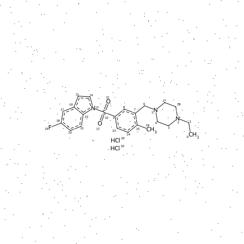 CCN1CCN(Cc2cc(S(=O)(=O)n3ccc4cc(F)ccc43)ccc2C)CC1.Cl.Cl